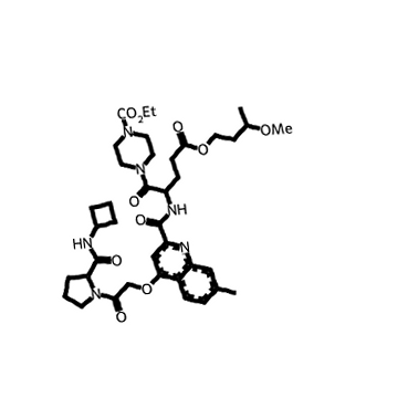 CCOC(=O)N1CCN(C(=O)C(CCC(=O)OCCC(C)OC)NC(=O)c2cc(OCC(=O)N3CCCC3C(=O)NC3CCC3)c3ccc(C)cc3n2)CC1